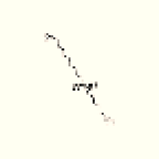 CC(C)CCCCCCCCCC(=O)NCCCCCCC(C)C